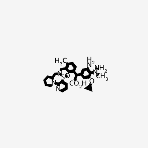 Cc1ccc(C(CC(=O)O)c2cc(N)c(N(C)N)c(OC3CC3)c2)cc1CN1CC2CCCCN2c2ncccc2[S+]1[O-]